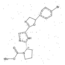 CC(C)(C)OC(=O)N1CCC[C@H]1c1ncc(C2=NCC(c3ccc(Br)cc3)O2)[nH]1